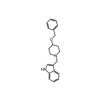 c1ccc(COC2CCN(Cc3c[nH]c4ccccc34)CC2)cc1